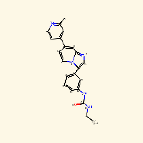 Cc1cc(-c2ccn3c(-c4cccc(NC(=O)NCC(F)(F)F)c4)cnc3c2)ccn1